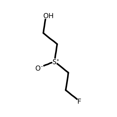 [O-][S+](CCO)CCF